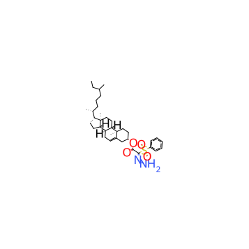 CCC(C)CCC[C@@H](C)[C@H]1CC[C@H]2[C@@H]3CC=C4C[C@@H](OC(=O)C(=NN)S(=O)(=O)c5ccccc5)CC[C@]4(C)[C@H]3CC[C@]12C